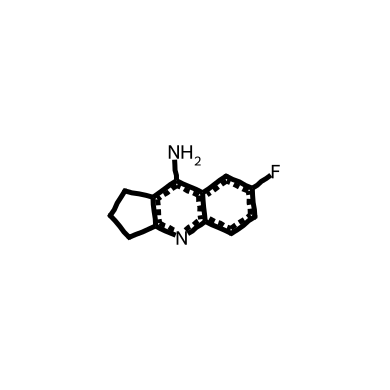 Nc1c2c(nc3ccc(F)cc13)CCC2